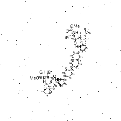 COC(=O)N[C@H](C(=O)N1CC2(CC2)C[C@H]1c1ncc(-c2ccc3cc(-c4ccc(-c5cnc([C@@H]6CC7(CN6C(=O)[C@@H](NC(O)OC)C(C)C)OCCO7)[nH]5)cc4)ccc3c2)[nH]1)C(C)C